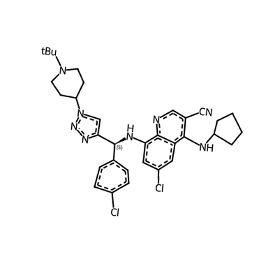 CC(C)(C)N1CCC(n2cc([C@@H](Nc3cc(Cl)cc4c(NC5CCCC5)c(C#N)cnc34)c3ccc(Cl)cc3)nn2)CC1